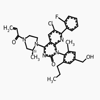 C=CC(=O)N1CCN(c2nc(=O)n(-c3c(C)cc(CO)cc3CCC)c3nc(-c4ccccc4F)c(Cl)cc23)[C@@H](C)C1